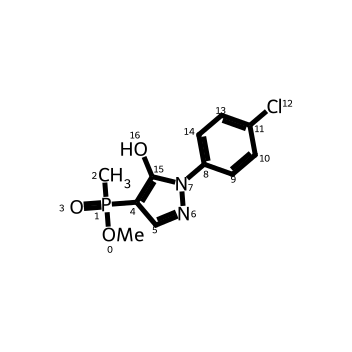 COP(C)(=O)c1cnn(-c2ccc(Cl)cc2)c1O